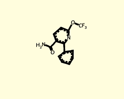 NC(=O)c1ccc(OC(F)(F)F)nc1-c1ccccc1